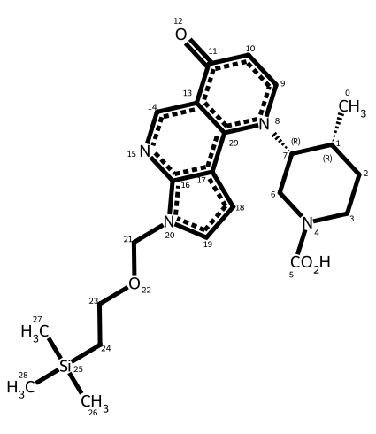 C[C@@H]1CCN(C(=O)O)C[C@@H]1n1ccc(=O)c2cnc3c(ccn3COCC[Si](C)(C)C)c21